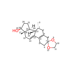 C[C@@H]1CC2=C(CCC3(C2)OCCO3)C2=CC[C@]3(C)[C@@H](O)CC[C@H]3[C@@H]21